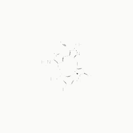 C[C@H]1Oc2cc(cnc2N)-c2c(nn(C)c2C#N)Cc2cc(=O)n(C)n2-c2ccc(F)cc21